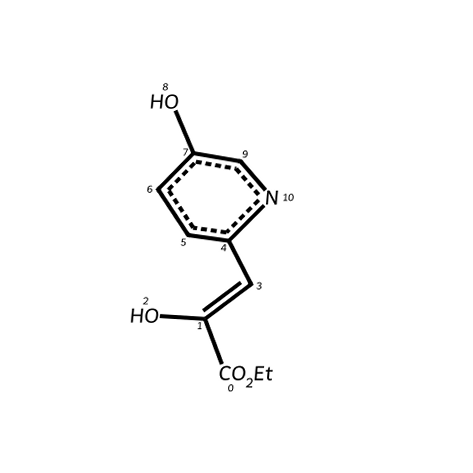 CCOC(=O)C(O)=Cc1ccc(O)cn1